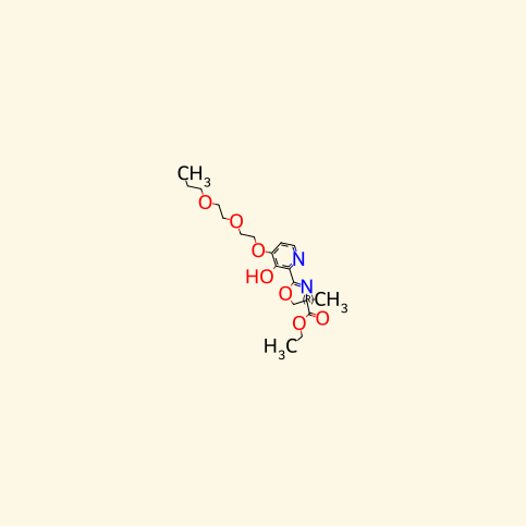 CCCOCCOCCOc1ccnc(C2=N[C@@](C)(C(=O)OCC)CO2)c1O